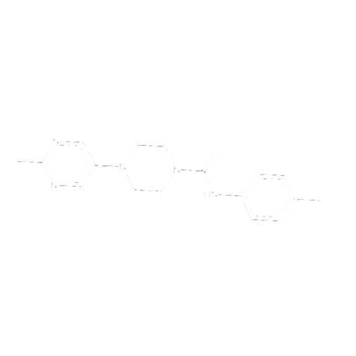 Cc1ncc(N2CCN(C(=O)Nc3ccc(C(C)C)cc3)CC2)cn1